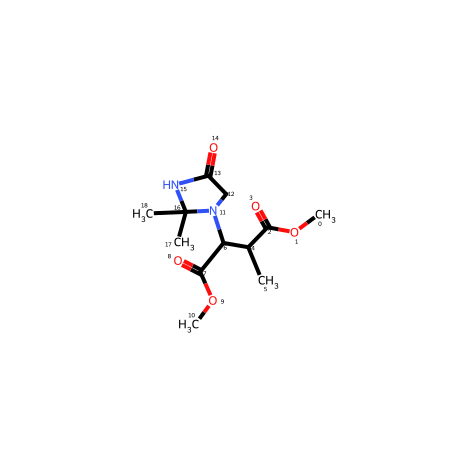 COC(=O)C(C)C(C(=O)OC)N1CC(=O)NC1(C)C